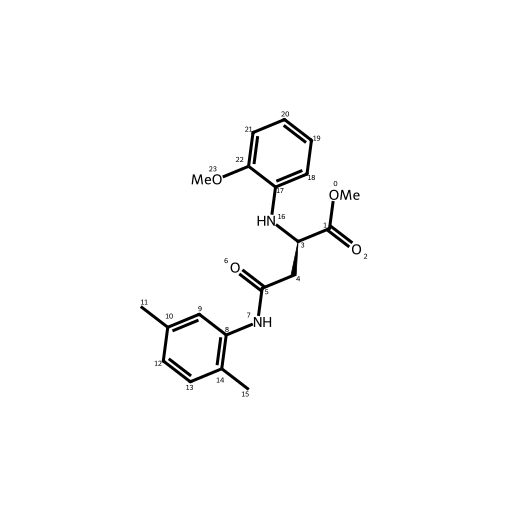 COC(=O)[C@@H](CC(=O)Nc1cc(C)ccc1C)Nc1ccccc1OC